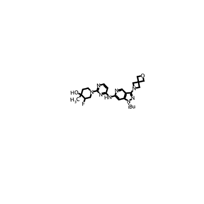 CC[C@H](C)n1nc(N2CC3(COC3)C2)c2cnc(Nc3ccnc(N4CCC(C)(O)C(F)C4)n3)cc21